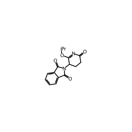 CC(C)OC1=NC(=O)CCC1N1C(=O)c2ccccc2C1=O